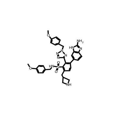 COc1ccc(CNS(=O)(=O)c2c(CC3CNC3)ccc(-c3ccc4nc(N)[nH]c4c3)c2-c2nnn(Cc3ccc(OC)cc3)n2)cc1